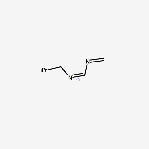 C=N/C=N\CC(C)C